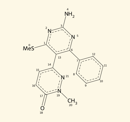 CSc1nc(N)nc(-c2ccccc2)c1-c1ccc(=O)n(C)n1